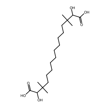 CC(C)(CCCCCCCCCCC(C)(C)C(O)C(=O)O)C(O)C(=O)O